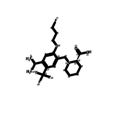 CC(C)c1cc(OCCCF)c(CN2CCCC[C@H]2C(=O)O)cc1C(F)(F)F